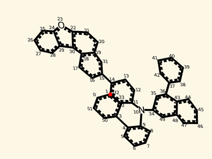 c1ccc(-c2ccccc2N(c2ccc(-c3ccc4c(ccc5oc6ccccc6c54)c3)cc2)c2cc(-c3ccccc3)c3ccccc3c2)cc1